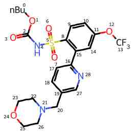 CCCCOC(=O)NS(=O)(=O)c1ccc(OC(F)(F)F)cc1-c1ccc(CN2CCOCC2)cn1